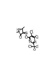 CC1NN(C)C(=O)C1=NOc1nc(C(Cl)(Cl)Cl)nc(Cl)c1Cl